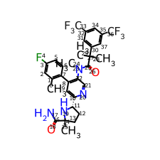 Cc1cc(F)ccc1-c1cc([C@@H]2CC[C@](C)(C(N)=O)N2)ncc1N(C)C(=O)C(C)(C)c1cc(C(F)(F)F)cc(C(F)(F)F)c1